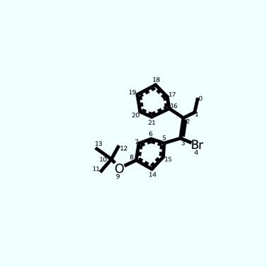 CC/C(=C(\Br)c1ccc(OC(C)(C)C)cc1)c1ccccc1